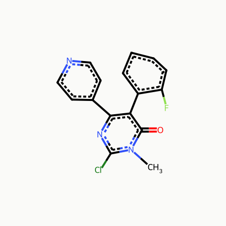 Cn1c(Cl)nc(-c2ccncc2)c(-c2ccccc2F)c1=O